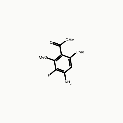 COC(=O)c1c(OC)cc(N)c(F)c1OC